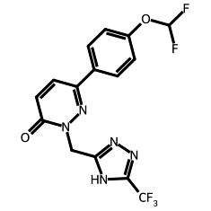 O=c1ccc(-c2ccc(OC(F)F)cc2)nn1Cc1nnc(C(F)(F)F)[nH]1